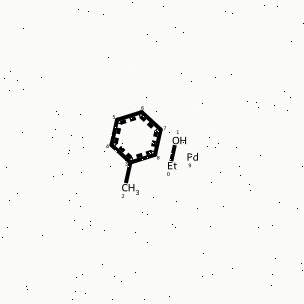 CCO.Cc1ccccc1.[Pd]